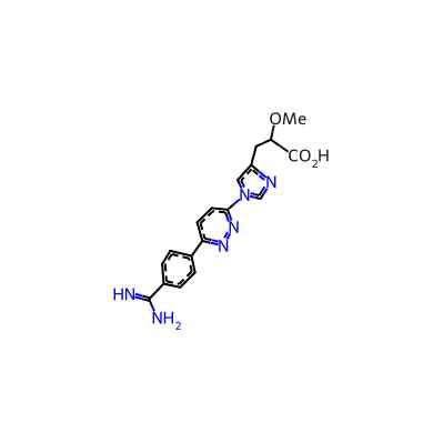 COC(Cc1cn(-c2ccc(-c3ccc(C(=N)N)cc3)nn2)cn1)C(=O)O